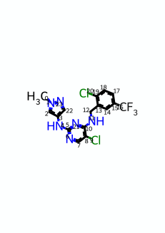 Cn1cc(Nc2ncc(Cl)c(NCc3cc(C(F)(F)F)ccc3Cl)n2)cn1